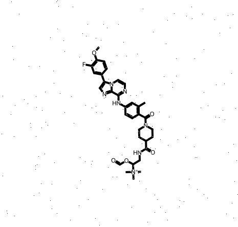 COc1ccc(-c2cnc3c(Nc4ccc(C(=O)N5CCC(C(=O)NCC(OC=O)[N+](C)(C)C)CC5)c(C)c4)nccn23)cc1F